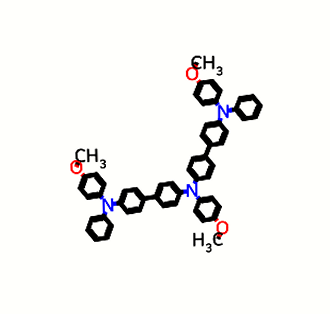 COc1ccc(N(c2ccccc2)c2ccc(-c3ccc(N(c4ccc(OC)cc4)c4ccc(-c5ccc(N(c6ccccc6)c6ccc(OC)cc6)cc5)cc4)cc3)cc2)cc1